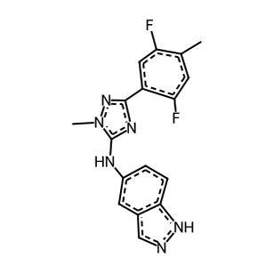 Cc1cc(F)c(-c2nc(Nc3ccc4[nH]ncc4c3)n(C)n2)cc1F